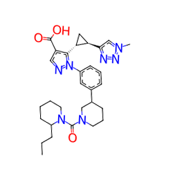 CCCC1CCCCN1C(=O)N1CCCC(c2cccc(-n3ncc(C(=O)O)c3[C@@H]3C[C@H]3c3cn(C)nn3)c2)C1